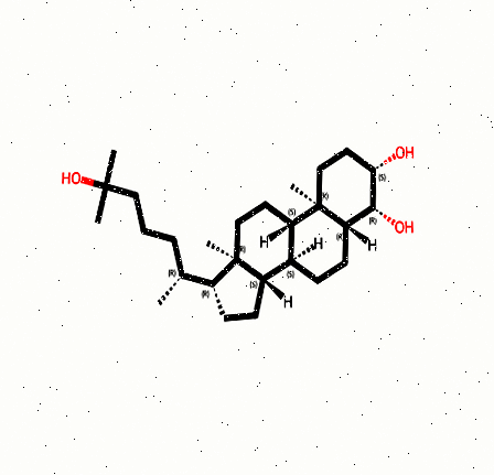 C[C@H](CCCC(C)(C)O)[C@H]1CC[C@H]2[C@@H]3CC[C@H]4[C@@H](O)[C@@H](O)CC[C@]4(C)[C@H]3CC[C@]12C